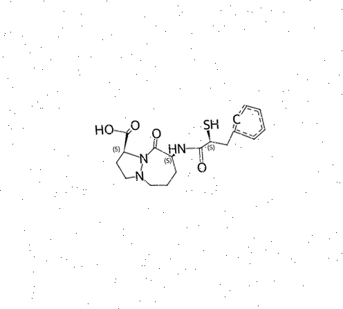 O=C(N[C@H]1CCCN2CC[C@@H](C(=O)O)N2C1=O)[C@@H](S)Cc1ccccc1